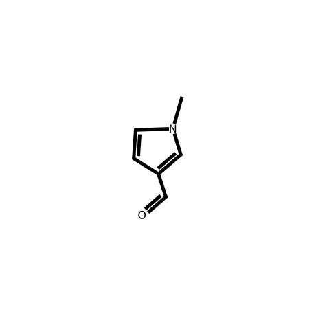 Cn1ccc(C=O)c1